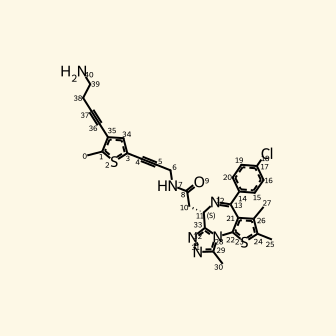 Cc1sc(C#CCNC(=O)C[C@@H]2N=C(c3ccc(Cl)cc3)c3c(sc(C)c3C)-n3c(C)nnc32)cc1C#CCCN